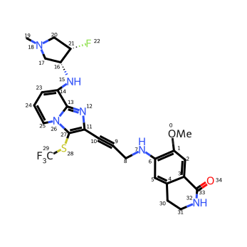 COc1cc2c(cc1NCC#Cc1nc3c(N[C@@H]4CN(C)C[C@@H]4F)cccn3c1SC(F)(F)F)CCNC2=O